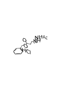 CC(=O)NNCCC(=O)OCc1ccccc1.Cl